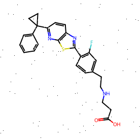 O=C(O)CCNCCc1ccc(-c2nc3ccc(C4(c5ccccc5)CC4)nc3s2)c(F)c1